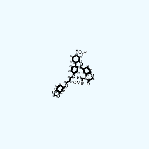 CCC(OC)N1C(=O)COc2ccc(COC3CN(C(=O)O)CCC3c3ccc(OCCCOc4ccc5c(c4)OCO5)cc3)cc21